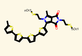 CCCCCCCCSCCN1C(=O)c2c(c(-c3ccc(-c4ccc(-c5ccc(-c6ccc(C)s6)s5)s4)s3)n(CCSCCCCCCCC)c2C)C1=O